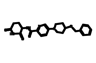 O=C1CCC(NC(=O)c2ccc(N3CCC(OCc4ccccc4)CC3)cn2)C(=O)N1